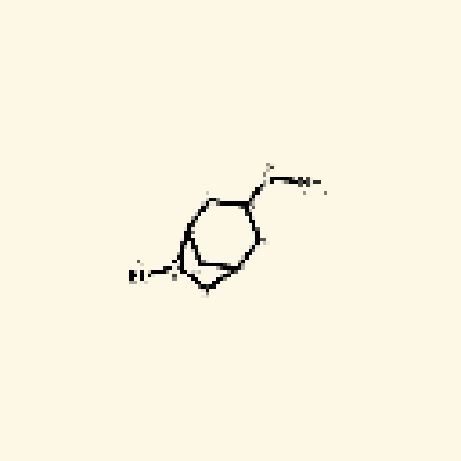 CCN1CC2CC(SN)CC1C2